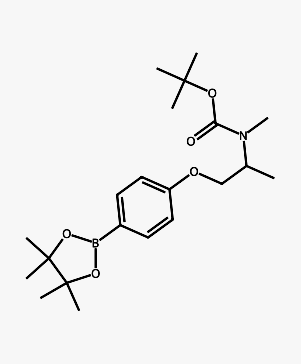 CC(COc1ccc(B2OC(C)(C)C(C)(C)O2)cc1)N(C)C(=O)OC(C)(C)C